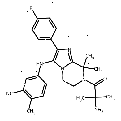 Cc1ccc(Nc2c(-c3ccc(F)cc3)nc3n2CCN(C(=O)C(C)(C)N)C3(C)C)cc1C#N